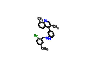 COc1ccc(Br)c(CNc2cccc(-c3c(C)cnc4c(C(F)(F)F)cccc34)c2)c1